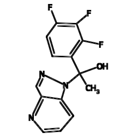 CC(O)(c1ccc(F)c(F)c1F)n1ncc2ncccc21